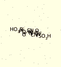 CC(C#N)(CCC(=O)OCC(F)(F)S(=O)(=O)O)N=NC(C)(C#N)CCC(=O)OCC(F)(F)S(=O)(=O)O